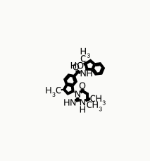 C[C@@H]1C[C@@H](N2C(=N)NC(C)(C)CC2=O)c2cc(C(=O)N[C@@H]3c4ccccc4C[C@]3(C)O)ccc21